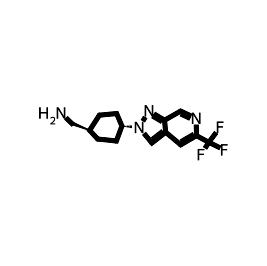 NC[C@H]1CC[C@H](n2cc3cc(C(F)(F)F)ncc3n2)CC1